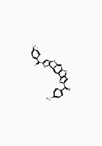 Cc1ccc(C(=O)c2cc3sc4cc5sc6cc(C(=O)c7ccc(C)cc7)sc6c5cc4c3s2)cc1